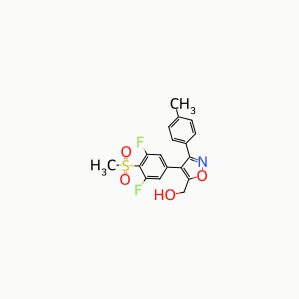 Cc1ccc(-c2noc(CO)c2-c2cc(F)c(S(C)(=O)=O)c(F)c2)cc1